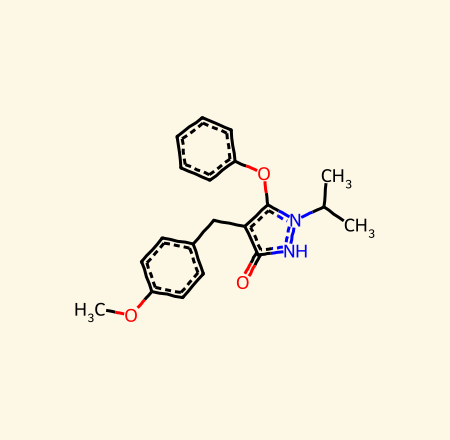 COc1ccc(Cc2c(Oc3ccccc3)n(C(C)C)[nH]c2=O)cc1